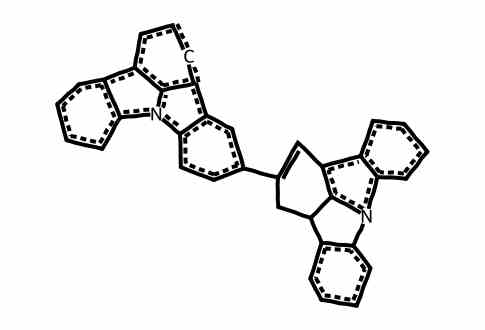 C1=C(c2ccc3c(c2)c2cccc4c5ccccc5n3c42)CC2c3ccccc3-n3c2c1c1ccccc13